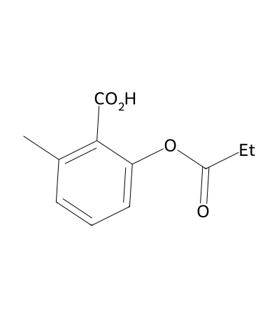 CCC(=O)Oc1cccc(C)c1C(=O)O